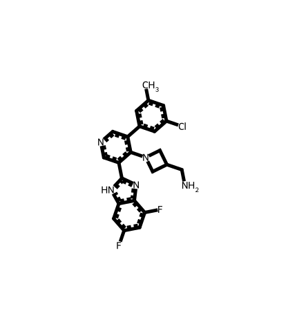 Cc1cc(Cl)cc(-c2cncc(-c3nc4c(F)cc(F)cc4[nH]3)c2N2CC(CN)C2)c1